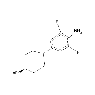 CCC[C@H]1CC[C@H](c2cc(F)c(N)c(F)c2)CC1